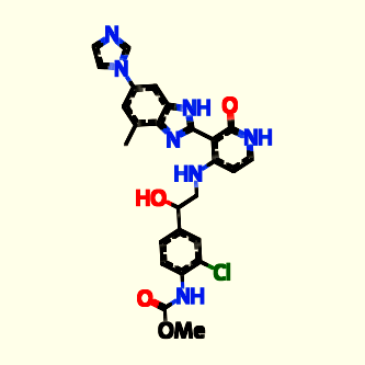 COC(=O)Nc1ccc(C(O)CNc2cc[nH]c(=O)c2-c2nc3c(C)cc(-n4ccnc4)cc3[nH]2)cc1Cl